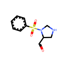 O=CC1CNCN1S(=O)(=O)c1ccccc1